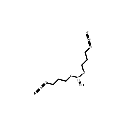 [N-]=[N+]=NCCCO[PH](=N)OCCCN=[N+]=[N-]